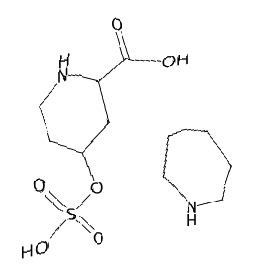 C1CCNCC1.O=C(O)C1CC(OS(=O)(=O)O)CCN1